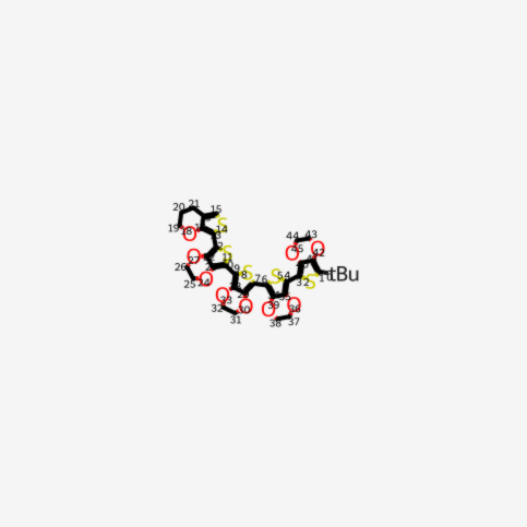 CC(C)(C)c1sc(-c2sc(-c3sc(-c4sc(-c5scc6c5OCCC6)c5c4OCCO5)c4c3OCCO4)c3c2OCCO3)c2c1OCCO2